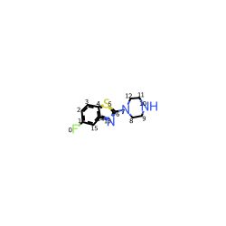 Fc1ccc2sc(N3CCNCC3)nc2c1